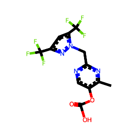 Cc1nc(Cn2nc(C(F)(F)F)cc2C(F)(F)F)ncc1OC(=O)O